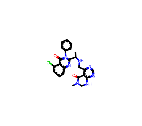 CC(NCc1ncnc2c1C(=O)N(C)CN2)c1nc2cccc(Cl)c2c(=O)n1-c1ccccc1